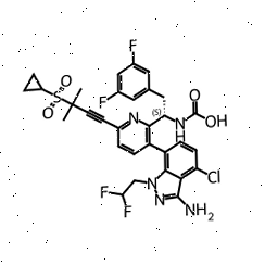 CC(C)(C#Cc1ccc(-c2ccc(Cl)c3c(N)nn(CC(F)F)c23)c([C@H](Cc2cc(F)cc(F)c2)NC(=O)O)n1)S(=O)(=O)C1CC1